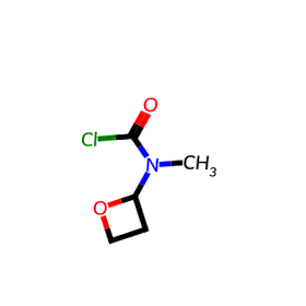 CN(C(=O)Cl)C1CCO1